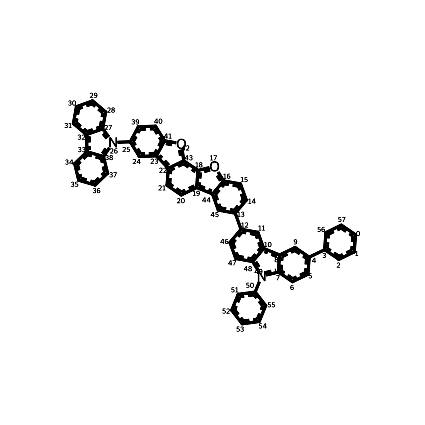 c1ccc(-c2ccc3c(c2)c2cc(-c4ccc5oc6c(ccc7c8cc(-n9c%10ccccc%10c%10ccccc%109)ccc8oc76)c5c4)ccc2n3-c2ccccc2)cc1